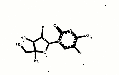 [C-]#[N+]C1(CO)OC(n2cc(F)c(N)nc2=O)C(F)C1O